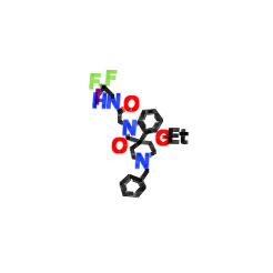 CCOc1cccc2c1C1(CCN(Cc3ccccc3)CC1)C(=O)N2CC(=O)NCC(F)(F)I